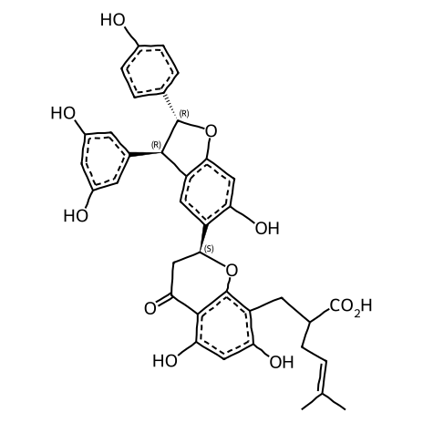 CC(C)=CCC(Cc1c(O)cc(O)c2c1O[C@H](c1cc3c(cc1O)O[C@@H](c1ccc(O)cc1)[C@@H]3c1cc(O)cc(O)c1)CC2=O)C(=O)O